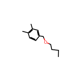 CCCCOCc1ccc(C)c(C)c1